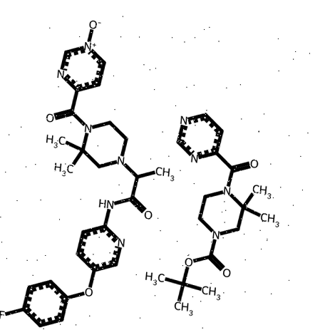 CC(C(=O)Nc1ccc(Oc2ccc(F)cc2)cn1)N1CCN(C(=O)c2cc[n+]([O-])cn2)C(C)(C)C1.CC(C)(C)OC(=O)N1CCN(C(=O)c2ccncn2)C(C)(C)C1